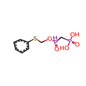 O=[PH](CP(=O)(O)O)OCSc1ccccc1